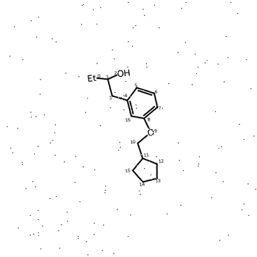 CCC(O)Cc1cccc(OCC2CCCC2)c1